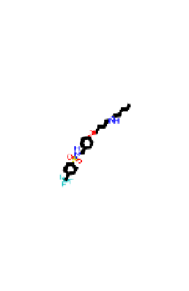 CCCCCNCCCCOC1CCC(CNS(=O)(=O)c2ccc(C(F)(F)F)cc2)CC1